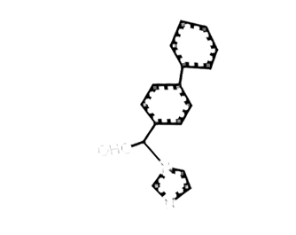 O=CC(c1ccc(-c2ccccc2)cc1)n1ccnc1